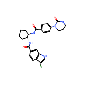 O=C(NC1CCCC[C@H]1NC(=O)c1ccc2c(Cl)c[nH]c2c1)c1ccc(N2CCCNC2=O)cc1